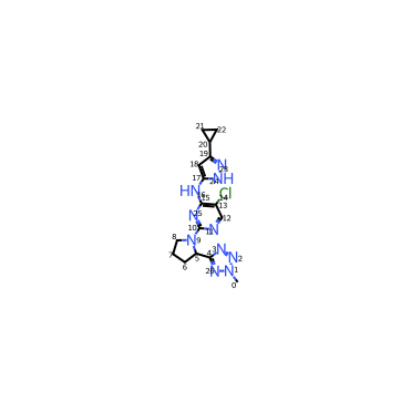 Cn1nnc(C2CCCN2c2ncc(Cl)c(Nc3cc(C4CC4)n[nH]3)n2)n1